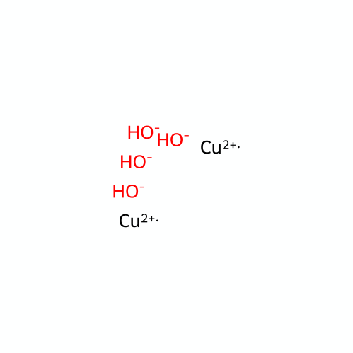 [Cu+2].[Cu+2].[OH-].[OH-].[OH-].[OH-]